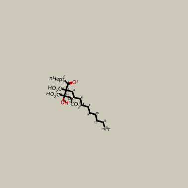 CCCCCCCC(=O)C(CCCCCCCCCC(C)C)(C(=O)O)C(O)(CC(=O)O)C(=O)O